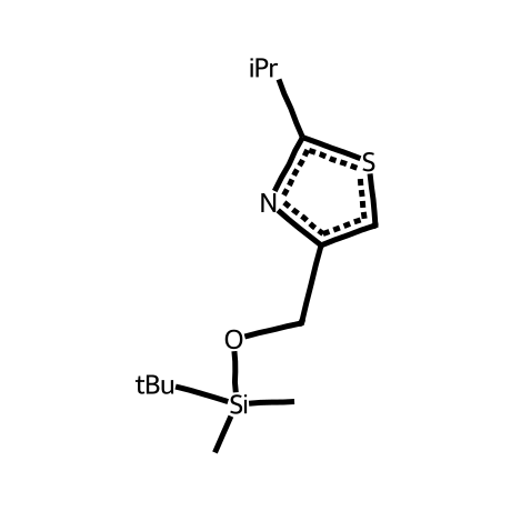 CC(C)c1nc(CO[Si](C)(C)C(C)(C)C)cs1